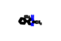 CC1=NC=C(c2ccccc2)C(C(C)(C)C)N1